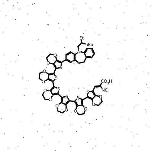 [C-]#[N+]/C(=C\c1sc(-c2sc(-c3sc(-c4sc(-c5sc(-c6sc(-c7ccc8c(c7)CCc7ccccc7N8CC(CC)CCCC)c7c6OCCO7)c6c5OCCO6)c5c4OCCO5)c4c3OCCO4)c3c2OCCO3)c2c1OCCO2)C(=O)O